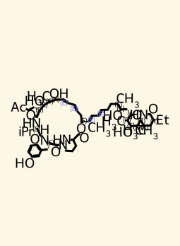 CC[C@@H]1C[C@@H](C)[C@@]2(NC1=O)O[C@@H](C[C@H](O)[C@@H](C)CC/C=C/C=C(\C)[C@@H]1C/C=C/C=C/[C@@H](O)[C@H](C)[C@@H](O)[C@@H](CCC(C)=O)C(=O)N[C@@H](C(C)C)C(=O)N[C@@H](Cc3cccc(O)c3)C(=O)N3CCCC(N3)C(=O)O1)[C@H](C)[C@H](O)[C@@H]2C